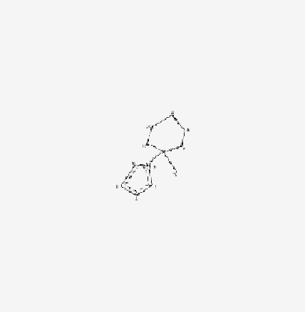 CC1(n2cccc2)CCCCC1